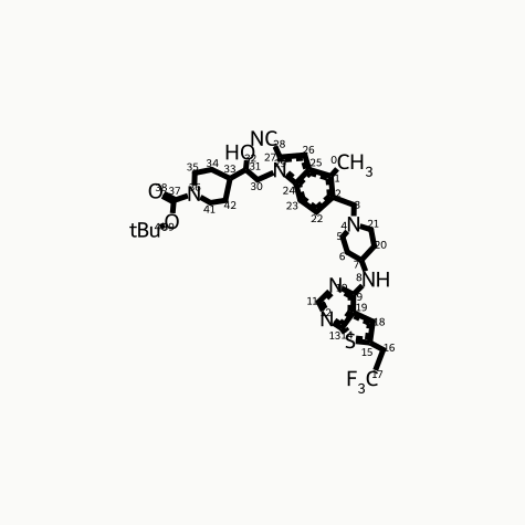 Cc1c(CN2CCC(Nc3ncnc4sc(CC(F)(F)F)cc34)CC2)ccc2c1cc(C#N)n2CC(O)C1CCN(C(=O)OC(C)(C)C)CC1